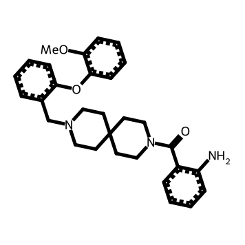 COc1ccccc1Oc1ccccc1CN1CCC2(CC1)CCN(C(=O)c1ccccc1N)CC2